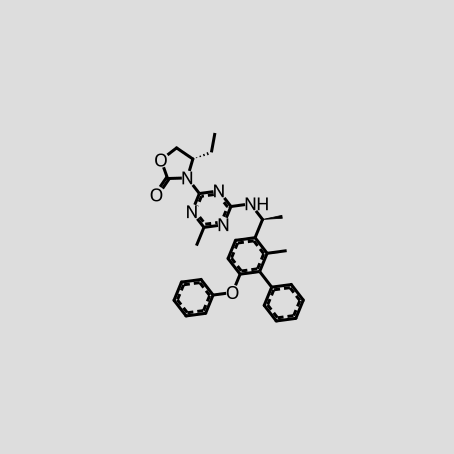 CC[C@H]1COC(=O)N1c1nc(C)nc(N[C@@H](C)c2ccc(Oc3ccccc3)c(-c3ccccc3)c2C)n1